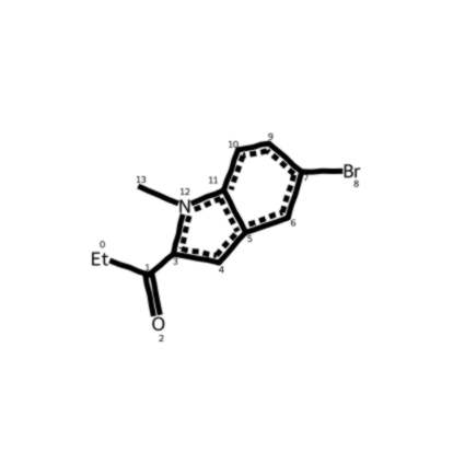 CCC(=O)c1cc2cc(Br)ccc2n1C